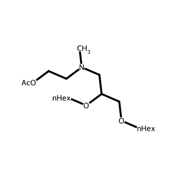 CCCCCCOCC(CN(C)CCOC(C)=O)OCCCCCC